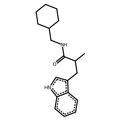 CC(Cc1c[nH]c2ccccc12)C(=O)NCC1CCCCC1